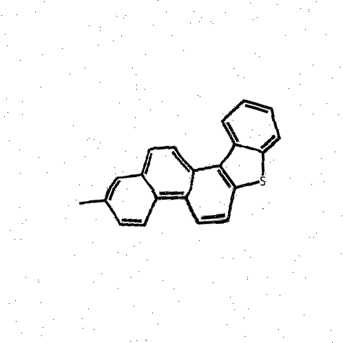 Cc1ccc2c(ccc3c2ccc2sc4ccccc4c23)c1